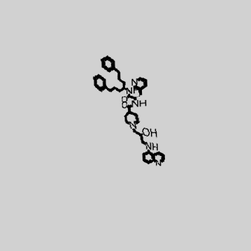 O=C(N[C@@H](Cc1cccnc1)C(=O)NC(CCCc1ccccc1)CCCc1ccccc1)C1CCN(C[C@@H](O)CNc2cccc3ncccc23)CC1